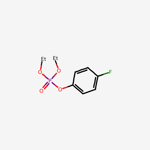 CCOP(=O)(OCC)Oc1ccc(F)cc1